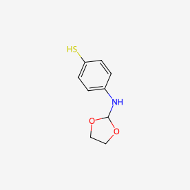 Sc1ccc(NC2OCCO2)cc1